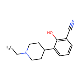 CCN1CCC(c2cccc(C#N)c2O)CC1